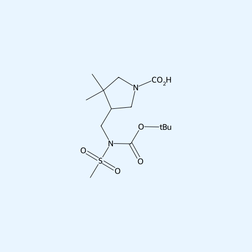 CC(C)(C)OC(=O)N(CC1CN(C(=O)O)CC1(C)C)S(C)(=O)=O